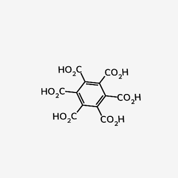 O=C(O)c1c(C(=O)O)c(C(=O)O)c(C(=O)O)c(C(=O)O)c1C(=O)O